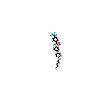 CCCCCC[C@H]1CC[C@H](c2ccc(SC(=O)c3ccc(C(F)F)cc3)cc2)CC1